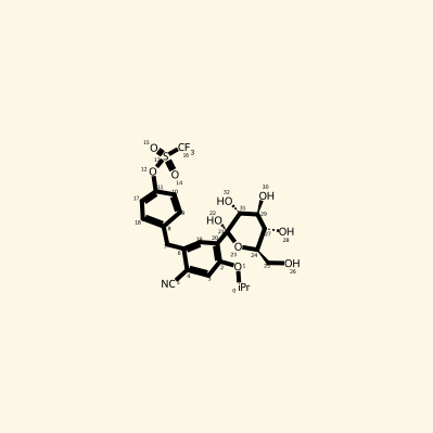 CC(C)Oc1cc(C#N)c(Cc2ccc(OS(=O)(=O)C(F)(F)F)cc2)cc1[C@]1(O)O[C@H](CO)[C@@H](O)[C@H](O)[C@H]1O